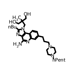 CCCCCN1CCN(CCCc2ccc3c(c2)nc(N)c2nc(CCCC)n(CC(C)(CO)CO)c23)CC1